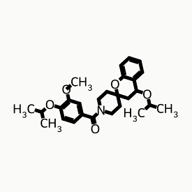 COc1cc(C(=O)N2CCC3(CC2)CC(OC(C)C)c2ccccc2O3)ccc1OC(C)C